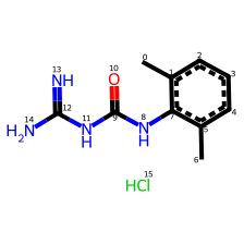 Cc1cccc(C)c1NC(=O)NC(=N)N.Cl